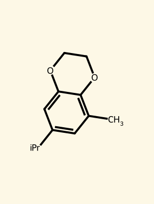 Cc1cc(C(C)C)cc2c1OCCO2